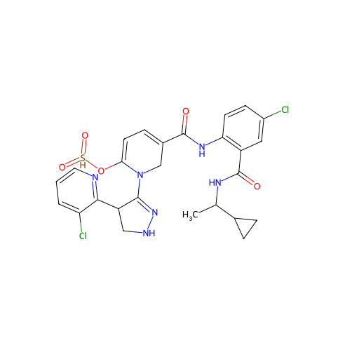 CC(NC(=O)c1cc(Cl)ccc1NC(=O)C1=CC=C(O[SH](=O)=O)N(C2=NNCC2c2ncccc2Cl)C1)C1CC1